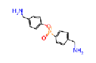 NCc1ccc(O[PH](=O)c2ccc(CN)cc2)cc1